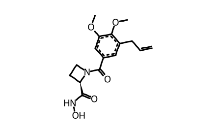 C=CCc1cc(C(=O)N2CC[C@@H]2C(=O)NO)cc(OC)c1OC